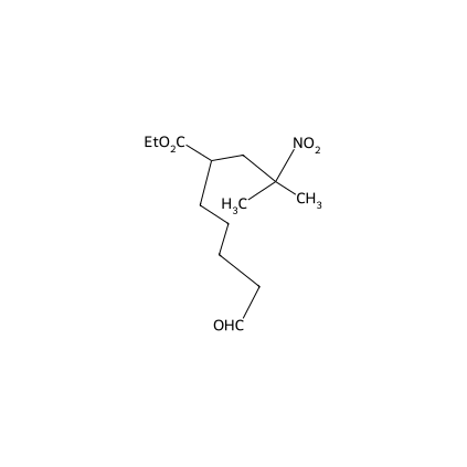 CCOC(=O)C(CCCCC=O)CC(C)(C)[N+](=O)[O-]